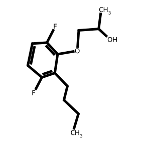 CCCCc1c(F)ccc(F)c1OCC(C)O